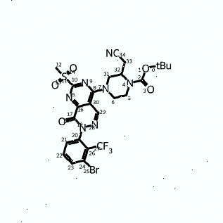 CC(C)(C)OC(=O)N1CCN(c2nc(S(C)(=O)=O)nc3c(=O)n(-c4cccc(Br)c4C(F)(F)F)ncc23)CC1CC#N